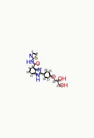 O=C(Nc1nccs1)c1cccc2[nH]c(-c3ccc(OCC(O)CO)cc3)nc12